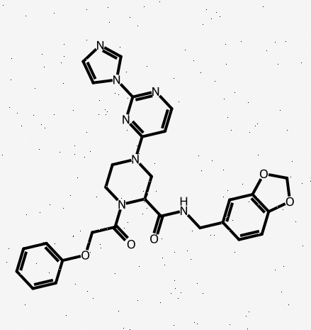 O=C(NCc1ccc2c(c1)OCO2)C1CN(c2ccnc(-n3ccnc3)n2)CCN1C(=O)COc1ccccc1